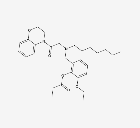 CCCCCCCN(CC(=O)N1CCOc2ccccc21)Cc1cccc(OCC)c1OC(=O)CC